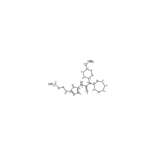 CC(C)(C)OC1CCC(N(C(=O)Nc2ncc(SCCC(=O)O)s2)C2CCCCCC2)CC1